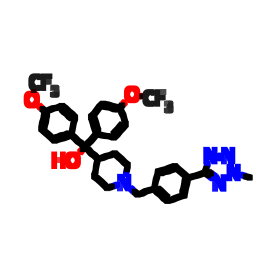 Cn1nnc(-c2ccc(CN3CCC(C(O)(c4ccc(OC(F)(F)F)cc4)c4ccc(OC(F)(F)F)cc4)CC3)cc2)n1